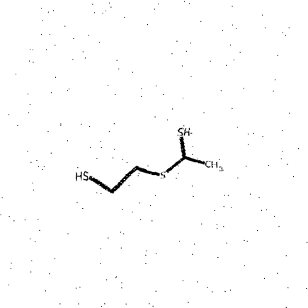 CC(S)SCCS